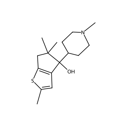 Cc1cc2c(s1)CC(C)(C)C2(O)C1CCN(C)CC1